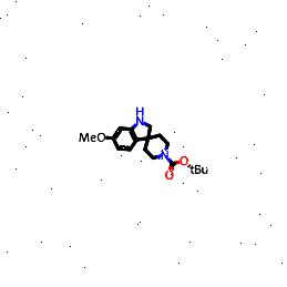 COc1ccc2c(c1)NCC21CCN(C(=O)OC(C)(C)C)CC1